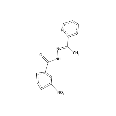 C/C(=N\NC(=O)c1cccc([N+](=O)[O-])c1)c1ccccn1